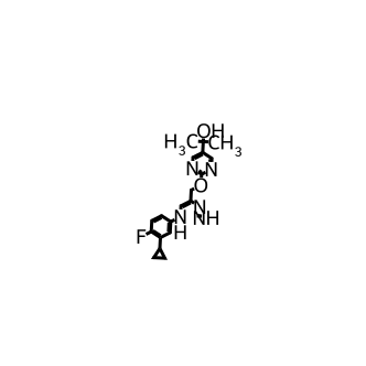 CC(C)(O)c1cnc(OC/C(=C/Nc2ccc(F)c(C3CC3)c2)N=N)nc1